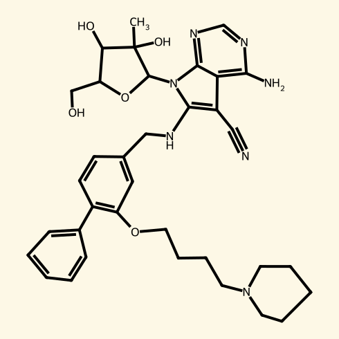 CC1(O)C(O)C(CO)OC1n1c(NCc2ccc(-c3ccccc3)c(OCCCCN3CCCCC3)c2)c(C#N)c2c(N)ncnc21